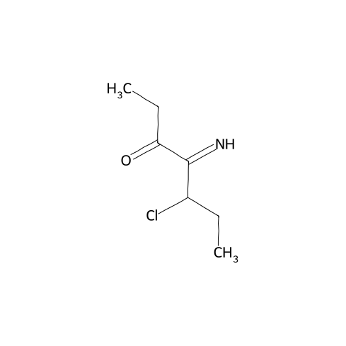 CCC(=O)C(=N)C(Cl)CC